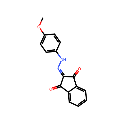 COc1ccc(NN=c2c(=O)c3ccccc3c2=O)cc1